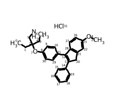 CCC(CC)(CN)Oc1ccc(C2=C(c3ccccc3)Cc3cc(OC)ccc32)cc1.Cl